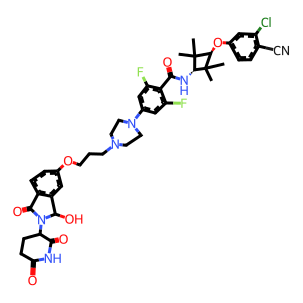 CC1(C)[C@H](NC(=O)c2c(F)cc(N3CCN(CCCOc4ccc5c(c4)C(O)N(C4CCC(=O)NC4=O)C5=O)CC3)cc2F)C(C)(C)[C@H]1Oc1ccc(C#N)c(Cl)c1